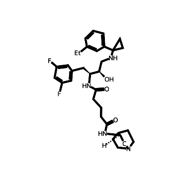 CCc1cccc(C2(NC[C@@H](O)[C@H](Cc3cc(F)cc(F)c3)NC(=O)CCCC(=O)N[C@@H]3CN4CCC3CC4)CC2)c1